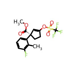 COC(=O)[C@]1(c2cccc(F)c2C)C=C(OS(=O)(=O)C(F)(F)F)CC1